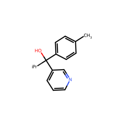 Cc1ccc(C(O)(c2cccnc2)C(C)C)cc1